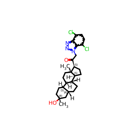 C[C@@]1(O)CC[C@H]2[C@H](CC[C@@H]3[C@@H]2CC[C@]2(C)[C@@H](C(=O)Cn4nnc5c(Cl)ccc(Cl)c54)CC[C@@H]32)C1